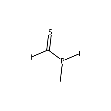 S=C(I)P(I)I